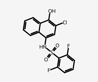 O=S(=O)(Nc1cc(Cl)c(O)c2ccccc12)c1c(F)cccc1F